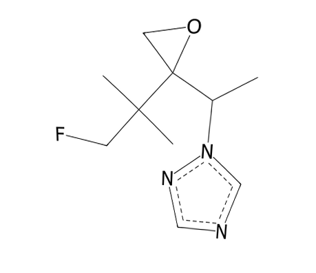 CC(n1cncn1)C1(C(C)(C)CF)CO1